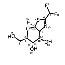 OC[C@H]1O[C@H]2SC(C(F)F)=NC2[C@@H](O)[C@@H]1O